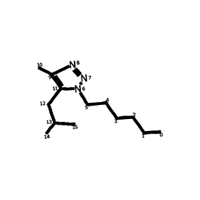 CCCCCCn1nnc(C)c1CC(C)C